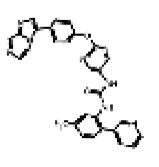 O=C(Nc1cnc(Oc2ccc(-c3cnc4cnccn34)cc2)nc1)Nc1cc(C(F)(F)F)ccc1-c1cccnc1